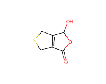 O=C1OC(O)C2=C1CSC2